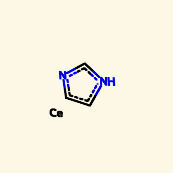 [Ce].c1c[nH]cn1